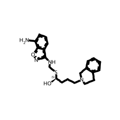 Nc1cccc2c(NCS[C@H](O)CCCN3CCc4ccccc4C3)noc12